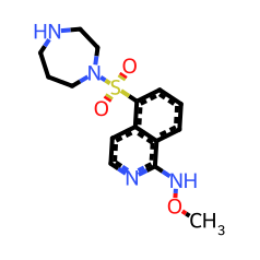 CONc1nccc2c(S(=O)(=O)N3CCCNCC3)cccc12